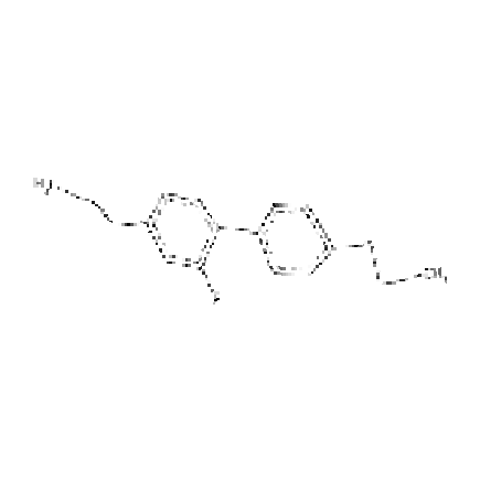 CCCc1ccc(-c2ccc(CCC)cc2F)cc1